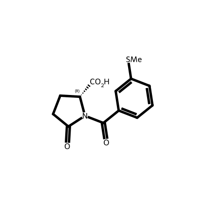 CSc1cccc(C(=O)N2C(=O)CC[C@@H]2C(=O)O)c1